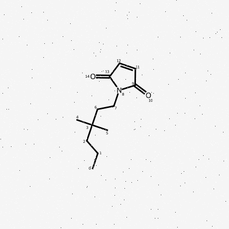 CCCC(C)(C)CCN1C(=O)C=CC1=O